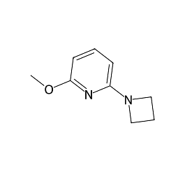 COc1cccc(N2CCC2)n1